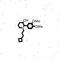 COc1ccc(C2C(O)CCCN2CCCC2CCC2)cc1OC